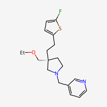 CCOC[C@]1(CCc2ccc(F)s2)CCN(Cc2cccnc2)C1